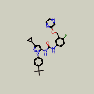 CC(C)(C)c1ccc(-n2nc(C3CC3)cc2NC(=O)Nc2ccc(F)c(COc3cnccn3)c2)cc1